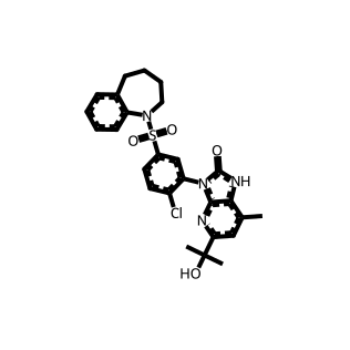 Cc1cc(C(C)(C)O)nc2c1[nH]c(=O)n2-c1cc(S(=O)(=O)N2CCCCc3ccccc32)ccc1Cl